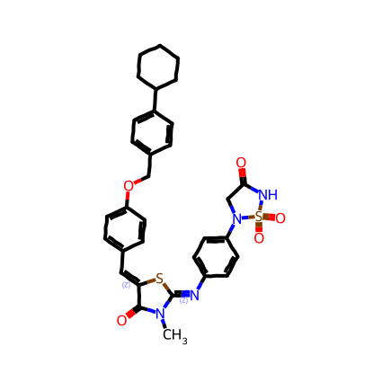 CN1C(=O)/C(=C/c2ccc(OCc3ccc(C4CCCCC4)cc3)cc2)S/C1=N\c1ccc(N2CC(=O)NS2(=O)=O)cc1